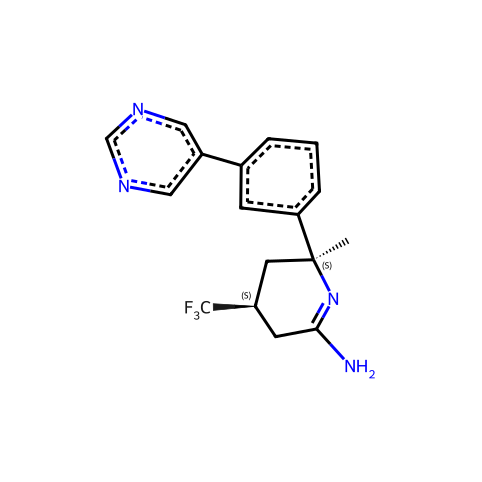 C[C@@]1(c2cccc(-c3cncnc3)c2)C[C@H](C(F)(F)F)CC(N)=N1